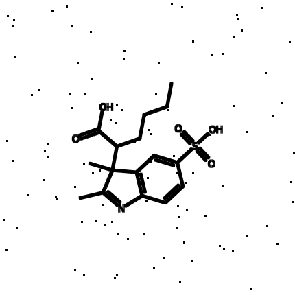 CCCCC(C(=O)O)C1(C)C(C)=Nc2ccc(S(=O)(=O)O)cc21